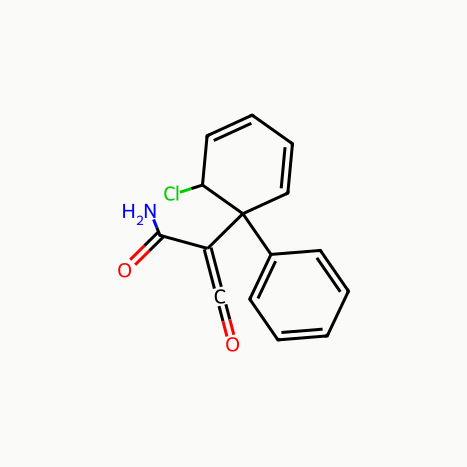 NC(=O)C(=C=O)C1(c2ccccc2)C=CC=CC1Cl